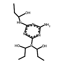 CCC(O)Nc1nc(N)nc(N(C(O)CC)C(O)CC)n1